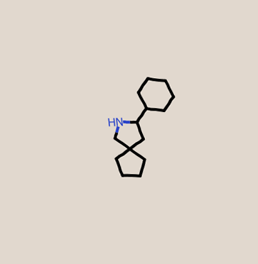 C1CCC(C2CC3(CCCC3)CN2)CC1